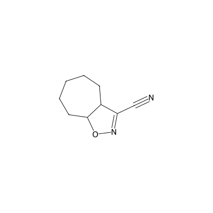 N#CC1=NOC2CCCCCC12